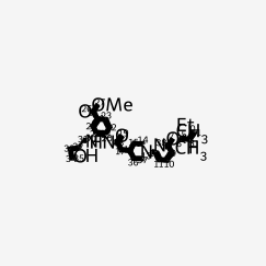 CC/C=C(/F)C(C)(C)Oc1cccc(N2CCC(CC(=O)Nc3ccc(C(=O)OC)cc3NC[C@@H]3CCO3)CC2)n1